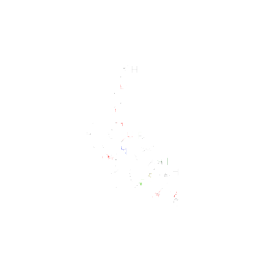 CCOCCOC(=O)C1=C(C(=O)N(C(=O)c2cccc(F)c2)c2cc(SC(C)C(=O)OC)c(Cl)cc2F)CCCC1